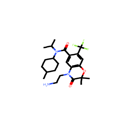 CC1CCC(N(C(=O)c2cc3c(cc2C(F)(F)F)OC(C)(C)C(=O)N3CCN)C(C)C)CC1